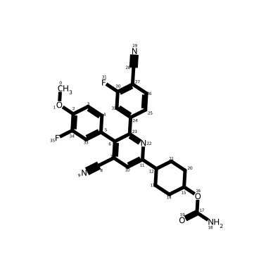 COc1ccc(-c2c(C#N)cc(C3CCC(OC(N)=O)CC3)nc2-c2ccc(C#N)c(F)c2)cc1F